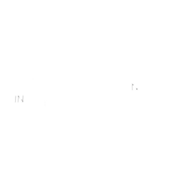 CCC1(CCCN(C)C)NO1